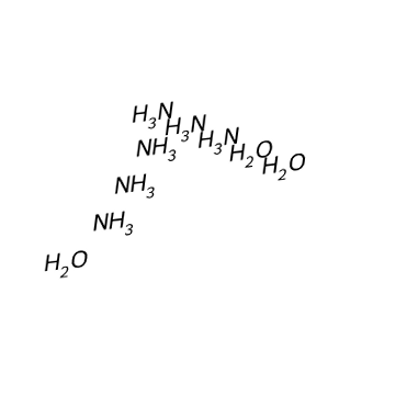 N.N.N.N.N.N.O.O.O